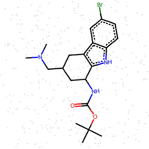 CN(C)CC1Cc2c([nH]c3ccc(Br)cc23)C(NC(=O)OC(C)(C)C)C1